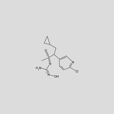 CS(=O)(=N/C(N)=N\O)C(CC1CC1)c1ccc(Cl)nc1